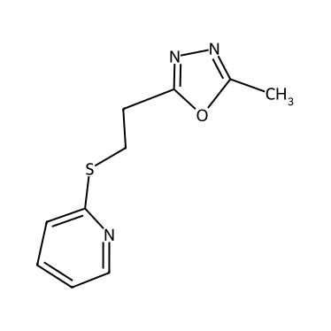 Cc1nnc(CCSc2ccccn2)o1